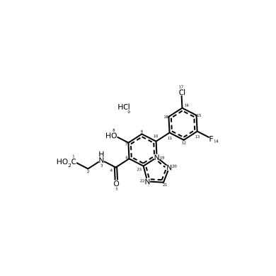 Cl.O=C(O)CNC(=O)c1c(O)cc(-c2cc(F)cc(Cl)c2)n2ncnc12